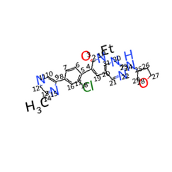 CCn1c(=O)c(-c2ccc(-c3cncc(C)n3)cc2Cl)cc2cnc(N[C@H]3CCOC3)nc21